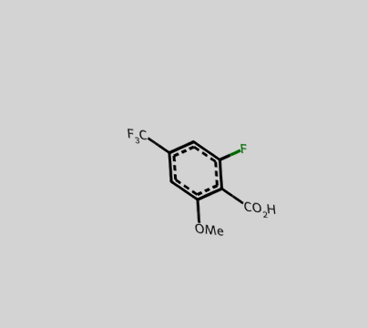 COc1cc(C(F)(F)F)cc(F)c1C(=O)O